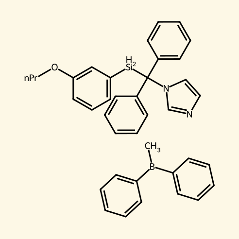 CB(c1ccccc1)c1ccccc1.CCCOc1cccc([SiH2]C(c2ccccc2)(c2ccccc2)n2ccnc2)c1